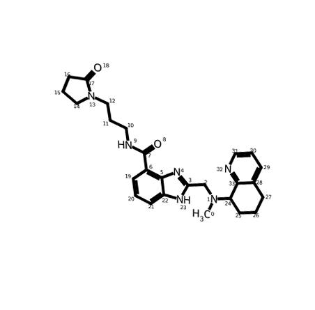 CN(Cc1nc2c(C(=O)NCCCN3CCCC3=O)cccc2[nH]1)C1CCCc2cccnc21